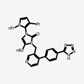 CCCCc1cn(-c2c(C(C)C)ccn2CCC)c(=O)n1Cc1cnccc1-c1ccc(-c2nnn[nH]2)cc1